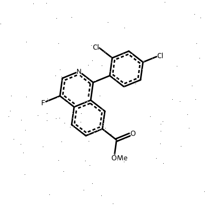 COC(=O)c1ccc2c(F)cnc(-c3ccc(Cl)cc3Cl)c2c1